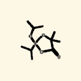 CC(C)O[B-]1(C(C)C)OC(=O)C(C)(C)O1